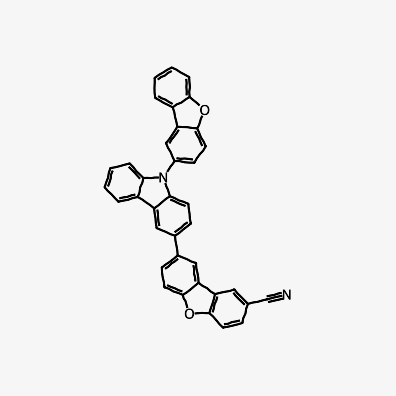 N#Cc1ccc2oc3ccc(-c4ccc5c(c4)c4ccccc4n5-c4ccc5oc6ccccc6c5c4)cc3c2c1